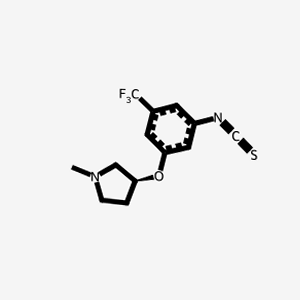 CN1CC[C@H](Oc2cc(N=C=S)cc(C(F)(F)F)c2)C1